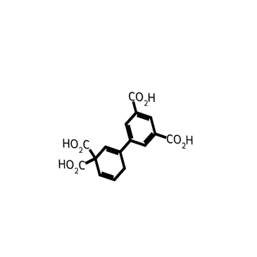 O=C(O)c1cc(C(=O)O)cc(C2=CC(C(=O)O)(C(=O)O)C=CC2)c1